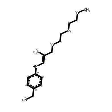 COCCOCCOC/C(N)=C/Nc1ccc(CN)cc1